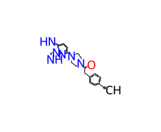 C#Cc1ccc(CC(=O)N2CCN(c3ccc(=N)n(C=N)n3)CC2)cc1